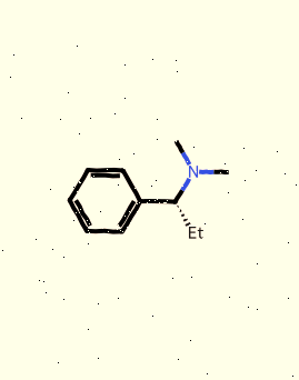 CC[C@H](c1ccccc1)N(C)C